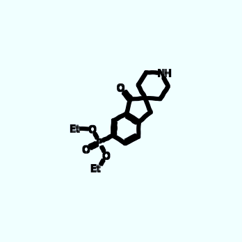 CCOP(=O)(OCC)c1ccc2c(c1)C(=O)C1(CCNCC1)C2